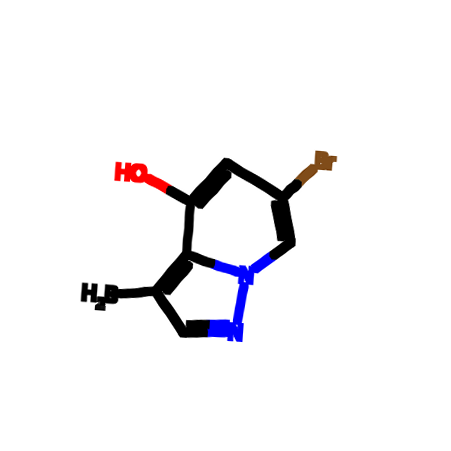 Bc1cnn2cc(Br)cc(O)c12